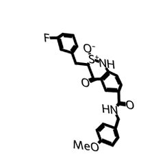 COc1ccc(CNC(=O)c2ccc3c(c2)C(=O)C(Cc2cccc(F)c2)[S+]([O-])N3)cc1